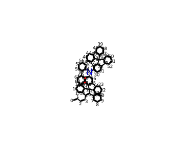 C=C/C=C\C1=C(c2ccccc2)C2(c3ccccc31)c1ccccc1-c1cc(N(c3ccc4c(c3)C(c3ccccc3)(c3ccccc3)c3ccccc3-4)c3ccccc3-c3ccccc3)ccc12